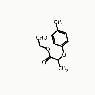 CC(Oc1ccc(O)cc1)C(=O)OCC=O